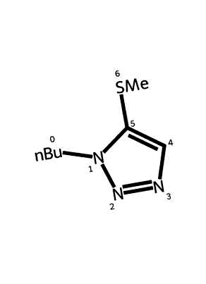 CCCCn1nncc1SC